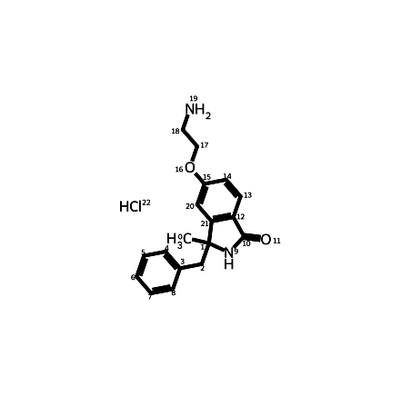 CC1(Cc2ccccc2)NC(=O)c2ccc(OCCN)cc21.Cl